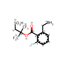 BCc1cccc(F)c1C(=O)OC(CS(=O)(=O)O)(C(F)(F)F)C(F)(F)F